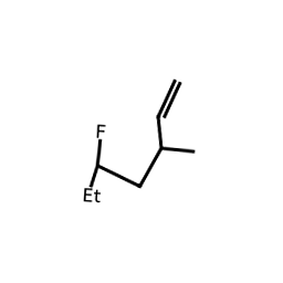 C=CC(C)CC(F)CC